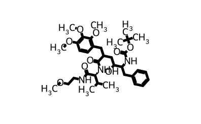 COCCNC(=O)[C@@H](NC(=O)C(Cc1ccc(OC)c(OC)c1OC)CC(O)C(Cc1ccccc1)NC(=O)OC(C)(C)C)C(C)C